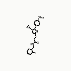 COc1ccc(-n2nc(CCC(=O)NCc3ccccc3F)cc2C2CC2)cc1